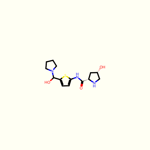 O=C(Nc1ccc(C(O)N2CCCC2)s1)[C@@H]1C[C@H](O)CN1